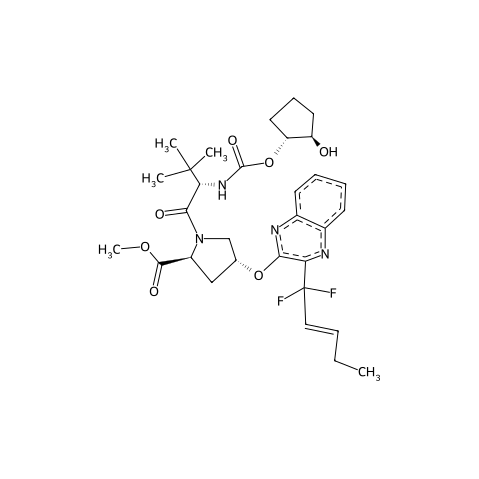 CC/C=C/C(F)(F)c1nc2ccccc2nc1O[C@@H]1C[C@@H](C(=O)OC)N(C(=O)[C@@H](NC(=O)O[C@@H]2CCC[C@H]2O)C(C)(C)C)C1